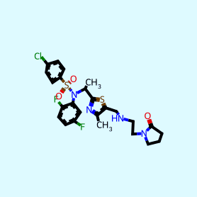 Cc1nc(C(C)N(c2cc(F)ccc2F)S(=O)(=O)c2ccc(Cl)cc2)sc1CNCCN1CCCC1=O